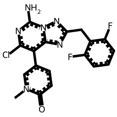 Cn1cc(-c2c(Cl)nc(N)n3nc(Cc4c(F)cccc4F)nc23)ccc1=O